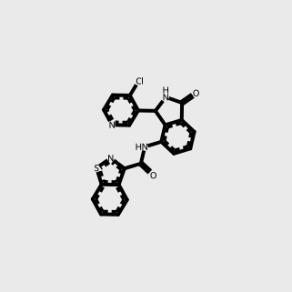 O=C1NC(c2cnccc2Cl)c2c(NC(=O)c3nsc4ccccc34)cccc21